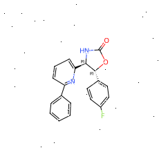 O=C1N[C@H](c2cccc(-c3ccccc3)n2)[C@@H](c2ccc(F)cc2)O1